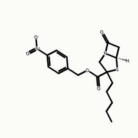 CCCCCC1(C(=O)OCc2ccc([N+](=O)[O-])cc2)CN2C(=O)C[C@H]2S1